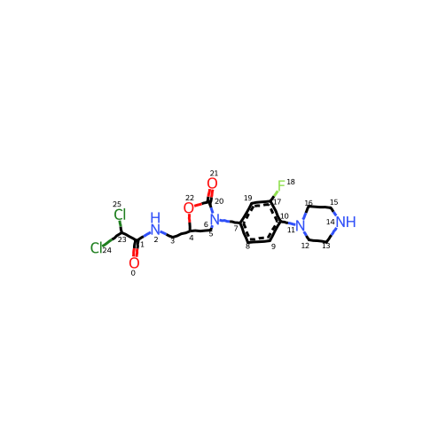 O=C(NCC1CN(c2ccc(N3CCNCC3)c(F)c2)C(=O)O1)C(Cl)Cl